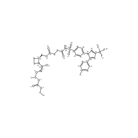 CCOC(=O)OC(C)O/N=[N+](/[O-])N1CC[C@H]1COC(=O)CCC(=O)NS(=O)(=O)c1ccc(-n2nc(C(F)(F)F)cc2-c2ccc(C)cc2)cc1